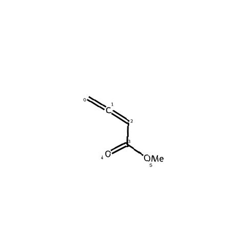 C=C=CC(=O)OC